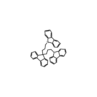 c1ccc2c(c1)-c1ccccc1C2(CCCn1c2ccccc2c2ccccc21)CCCn1c2ccccc2c2ccccc21